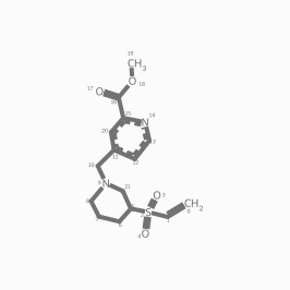 C=CS(=O)(=O)C1CCCN(Cc2ccnc(C(=O)OC)c2)C1